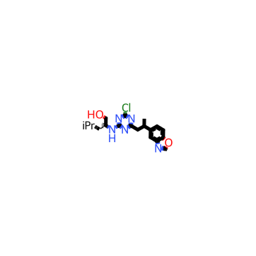 CC(C)C[C@H](CO)Nc1nc(Cl)nc(CC(C)c2ccc3ocnc3c2)n1